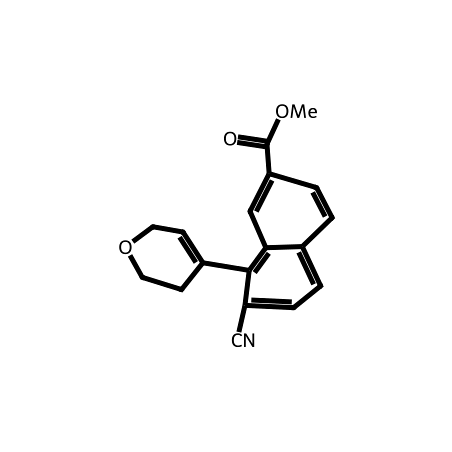 COC(=O)c1ccc2ccc(C#N)c(C3=CCOCC3)c2c1